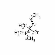 CC=CC(C)(C(C)C)P(C)C